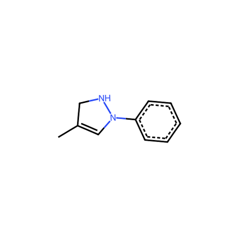 CC1=CN(c2ccccc2)NC1